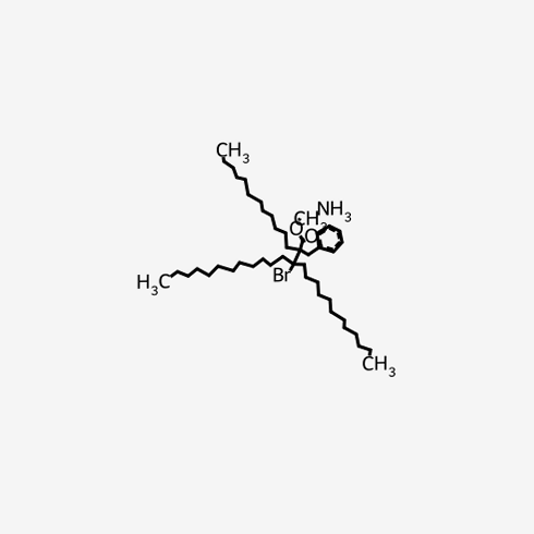 CCCCCCCCCCCCC(Br)(CCCCCCCCCCCC)C(CCCCCCCCCCCC)(Cc1ccccc1)C(=O)OC.N